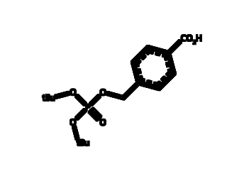 CC(C)(C)OP(=O)(OCc1ccc(C(=O)O)cc1)OC(C)(C)C